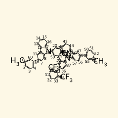 Cc1cccc(-c2ccc3c(c2)c2ccccc2n3-c2ccc(C#N)c(-c3cc(-c4c(C(F)(F)F)cccc4C(F)(F)F)ccc3-n3c4ccccc4c4cc(-c5cccc(C)c5)ccc43)c2)c1